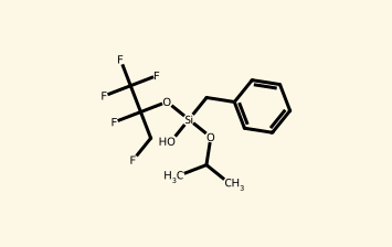 CC(C)O[Si](O)(Cc1ccccc1)OC(F)(CF)C(F)(F)F